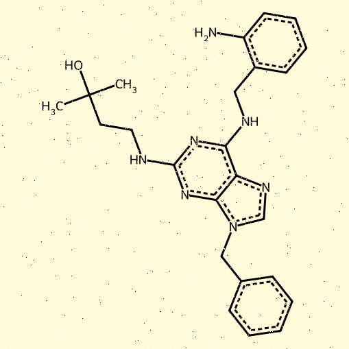 CC(C)(O)CCNc1nc(NCc2ccccc2N)c2ncn(Cc3ccccc3)c2n1